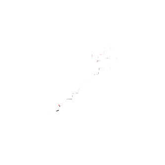 C=C(C)C(=O)OCCCCCCCCCCC(C)O[Si](OC)(OCC)OCC